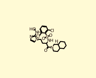 O=C(C(CCn1ccnc1NO)NS(=O)(=O)c1c(Cl)cccc1Cl)N1CCC2CCCC[C@@H]2C1